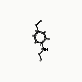 CCNc1ccc(CC)cc1